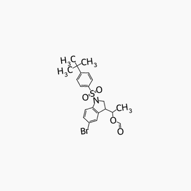 CC(OC=O)C1CN(S(=O)(=O)c2ccc(C(C)(C)C)cc2)c2ccc(Br)cc21